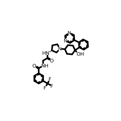 O=C(CNC(=O)c1cccc(C(F)(F)F)c1)N[C@@H]1CCN(C2CCC(O)(c3ccccc3-c3cncnc3)CC2)C1